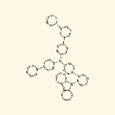 c1ccc(-c2ccc(N(c3ccc(-c4cccc(-c5ccccc5)c4)cc3)c3ccc(-c4ccccc4-n4c5ccccc5c5ccccc54)cc3)cc2)cc1